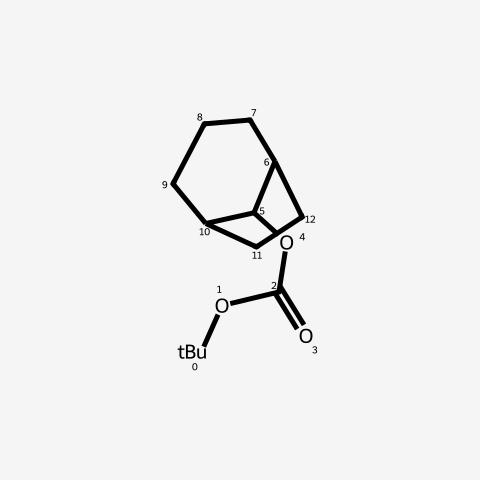 CC(C)(C)OC(=O)OC1C2CCCC1CC2